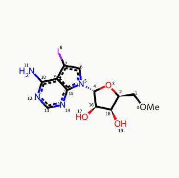 COC[C@@H]1O[C@@H](n2cc(I)c3c(N)ncnc32)[C@H](O)[C@@H]1O